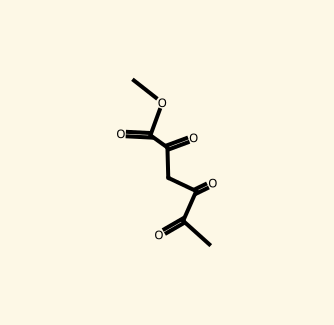 COC(=O)C(=O)CC(=O)C(C)=O